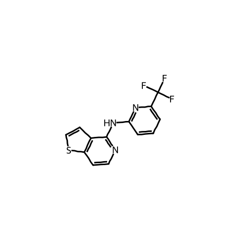 FC(F)(F)c1cccc(Nc2nccc3sccc23)n1